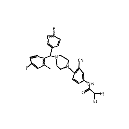 CCC(CC)C(=O)Nc1ccc(N2CCN(C(c3ccc(F)cc3)c3ccc(F)cc3C)CC2)c(C#N)c1